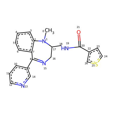 CN1c2ccccc2C(c2cccnc2)=NCC1CNC(=O)c1ccsc1